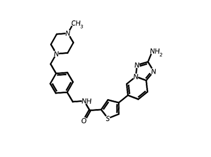 CN1CCN(Cc2ccc(CNC(=O)c3cc(-c4ccc5nc(N)nn5c4)cs3)cc2)CC1